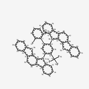 Fc1cccc(F)c1-c1cc(-n2c3ccccc3c3ccc4c5ccccc5sc4c32)c(C(F)(F)F)cc1-n1c2ccccc2c2ccc3c4ccccc4sc3c21